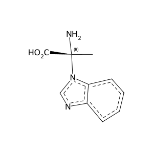 C[C@](N)(C(=O)O)n1cnc2ccccc21